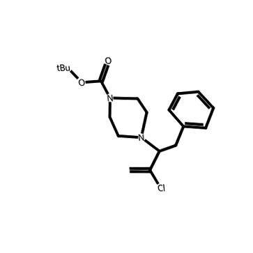 C=C(Cl)C(Cc1ccccc1)N1CCN(C(=O)OC(C)(C)C)CC1